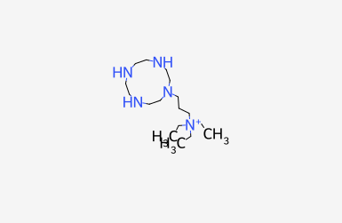 CC[N+](CC)(CC)CCCN1CCNCCNCCNCC1